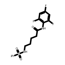 CC(C)S(=O)(=O)NCCCCC(=O)Nc1c(F)cc(F)cc1F